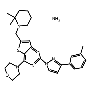 Cc1cccc(-c2ccn(-c3nc(N4CCOCC4)c4sc(CN5CCCCC5(C)C)cc4n3)n2)c1.N